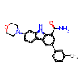 NC(=O)c1cc(-c2cccc(C(F)(F)F)c2)cc2c1[nH]c1cc(N3CCOCC3)ccc12